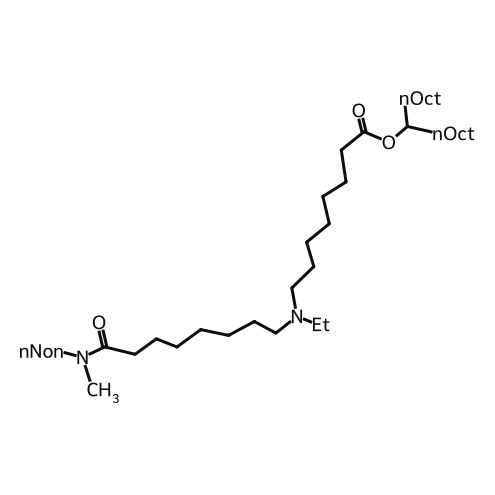 CCCCCCCCCN(C)C(=O)CCCCCCCN(CC)CCCCCCCC(=O)OC(CCCCCCCC)CCCCCCCC